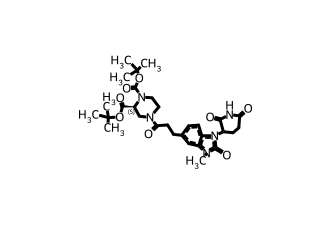 Cn1c(=O)n(C2CCC(=O)NC2=O)c2ccc(CCC(=O)N3CCN(C(=O)OC(C)(C)C)[C@H](C(=O)OC(C)(C)C)C3)cc21